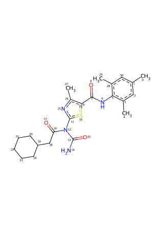 Cc1cc(C)c(NC(=O)c2sc(N(C(N)=O)C(=O)CC3CCCCC3)nc2C)c(C)c1